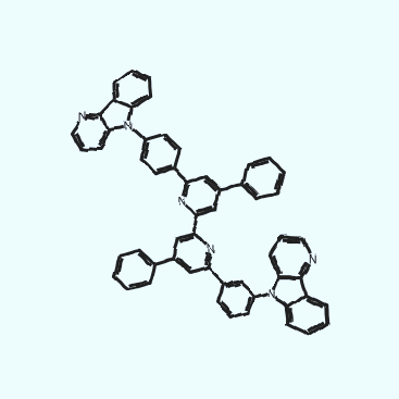 c1ccc(-c2cc(-c3ccc(-n4c5ccccc5c5ncccc54)cc3)nc(-c3cc(-c4ccccc4)cc(-c4cccc(-n5c6ccccc6c6ncccc65)c4)n3)c2)cc1